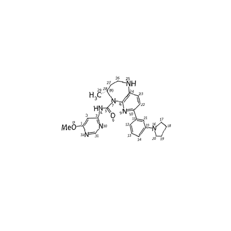 COc1cc(NC(=O)N2c3nc(-c4cccc(N5CCCC5)c4)ccc3NCC[C@H]2C)ncn1